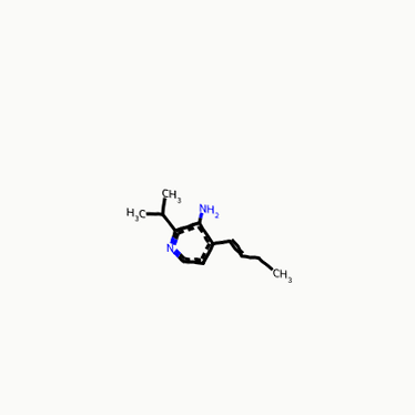 CC/C=C/c1ccnc(C(C)C)c1N